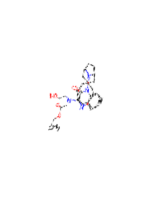 CCOC(=O)CN(CCO)c1nc2ccccc2n(C2CC3CCC(C2)N3C2CCCCCCC2)c1=O